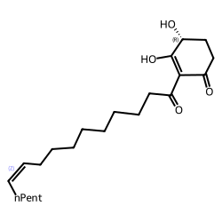 CCCCC/C=C\CCCCCCCCC(=O)C1=C(O)[C@H](O)CCC1=O